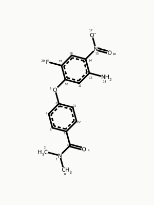 CN(C)C(=O)c1ccc(Oc2cc(N)c([N+](=O)[O-])cc2F)cc1